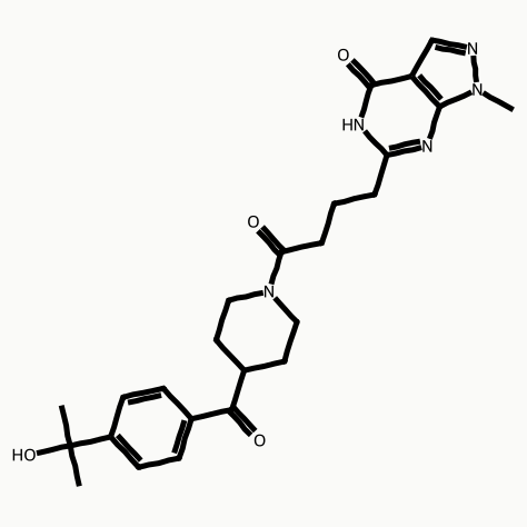 Cn1ncc2c(=O)[nH]c(CCCC(=O)N3CCC(C(=O)c4ccc(C(C)(C)O)cc4)CC3)nc21